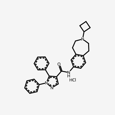 Cl.O=C(Nc1ccc2c(c1)CCN(C1CCC1)CC2)c1cnn(-c2ccccc2)c1-c1ccccc1